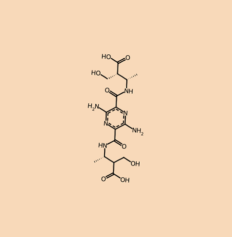 C[C@H](NC(=O)c1nc(N)c(C(=O)N[C@@H](C)[C@H](CO)C(=O)O)nc1N)C(CO)C(=O)O